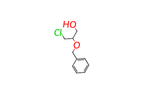 OCC(CCl)OCc1ccccc1